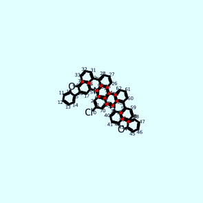 Clc1cc(N(c2ccc3oc4ccccc4c3c2)c2c(-c3ccccc3)cccc2-c2ccccc2)cc(N(c2ccc3oc4ccccc4c3c2)c2c(-c3ccccc3)cccc2-c2ccccc2)c1